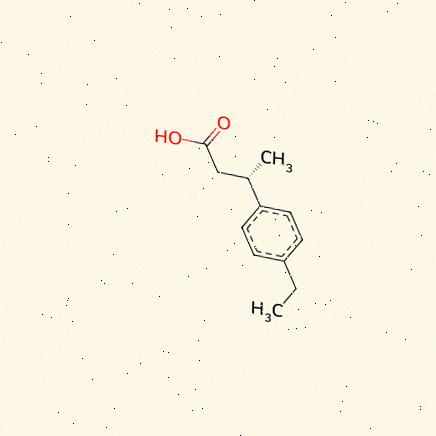 CCc1ccc([C@@H](C)CC(=O)O)cc1